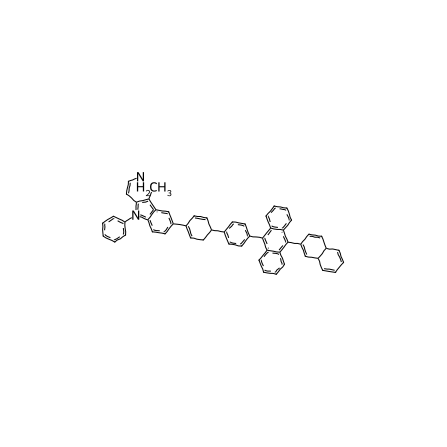 Cc1c(/C=C\N)n(-c2ccccc2)c2ccc(C3=CCC(c4ccc(-c5c6ccccc6c(C6=CC7C=CC=CC7C=C6)c6ccccc56)cc4)C=C3)cc12